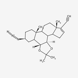 C#CC1=CCC2C3C(CC[C@]12C)[C@@]1(C)CC[C@H](N=[N+]=[N-])CC1[C@H]1OC(C)(C)O[C@H]31